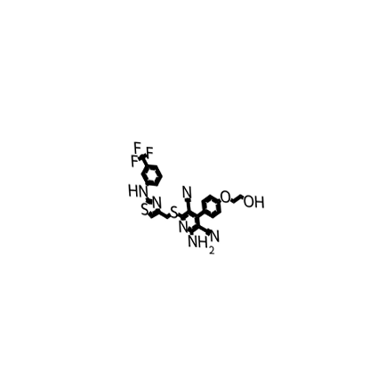 N#Cc1c(N)nc(SCc2csc(Nc3cccc(C(F)(F)F)c3)n2)c(C#N)c1-c1ccc(OCCO)cc1